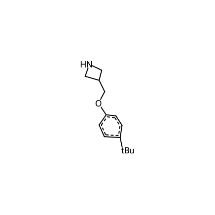 CC(C)(C)c1ccc(OCC2CNC2)cc1